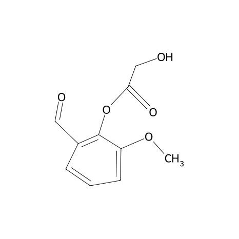 COc1cccc(C=O)c1OC(=O)CO